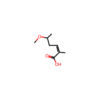 COC(C)CC=C(C)C(=O)O